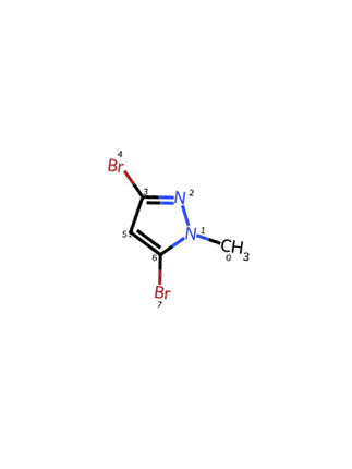 Cn1nc(Br)[c]c1Br